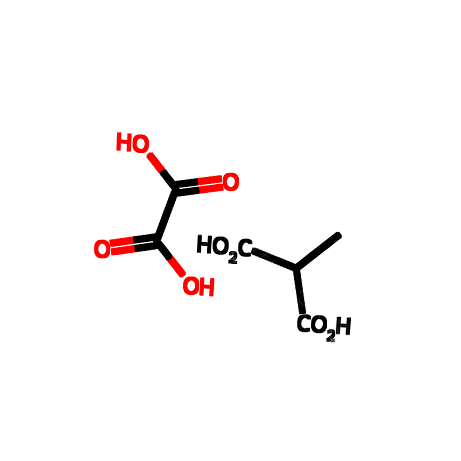 CC(C(=O)O)C(=O)O.O=C(O)C(=O)O